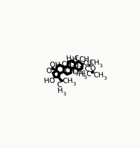 CC(C)OC(C)(C)O[C@H]1CCC2(C)[C@@H](CCC3(C)[C@]2(C)CCC2C4=C(C(C)C)[C@@H](O)CC4(C(=O)O)CC[C@]23C)C1(C)C